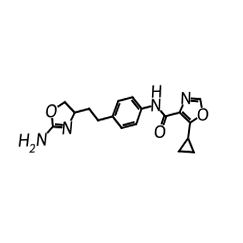 NC1=NC(CCc2ccc(NC(=O)c3ncoc3C3CC3)cc2)CO1